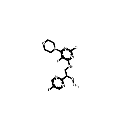 COC(CNc1nc(Cl)nc(N2CCOCC2)c1F)c1ncc(F)cn1